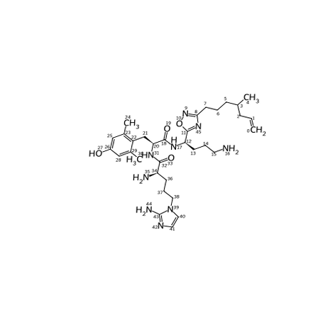 C=CCC(C)CCCc1noc([C@@H](CCCN)NC(=O)[C@H](Cc2c(C)cc(O)cc2C)NC(=O)[C@H](N)CCCn2ccnc2N)n1